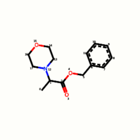 CC(C(=O)OCc1ccccc1)N1CCOCC1